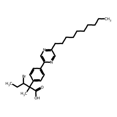 CCCCCCCCCCc1cnc(-c2ccc(C(C)(C(=O)O)C(Br)CC)cc2)cn1